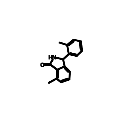 Cc1ccccc1C1NC(=O)c2c(C)cccc21